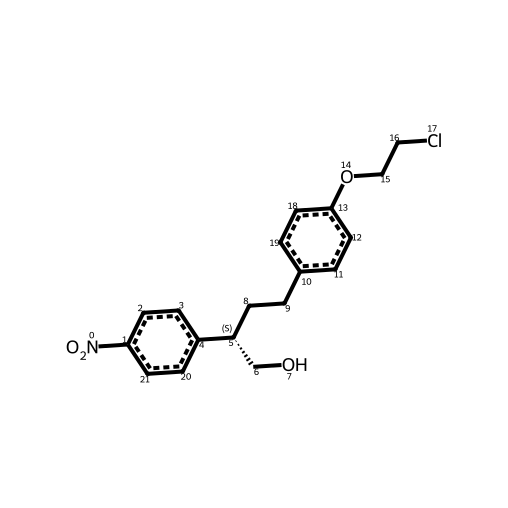 O=[N+]([O-])c1ccc([C@@H](CO)CCc2ccc(OCCCl)cc2)cc1